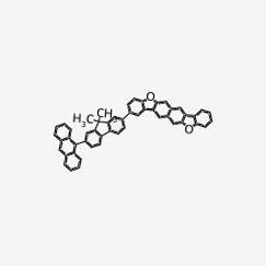 CC1(C)c2cc(-c3ccc4oc5cc6cc7c(cc6cc5c4c3)oc3ccccc37)ccc2-c2ccc(-c3c4ccccc4cc4ccccc34)cc21